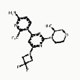 CC1COCCN1c1nc(-c2ccc(N)nc2C(F)(F)F)cc(N2CC(F)(F)C2)n1